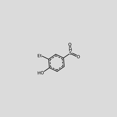 CCc1cc([SH](=O)=O)ccc1O